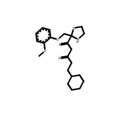 COc1ccccc1OCC1(C(=S)CC(=O)CCC2CCCCC2)NCCS1